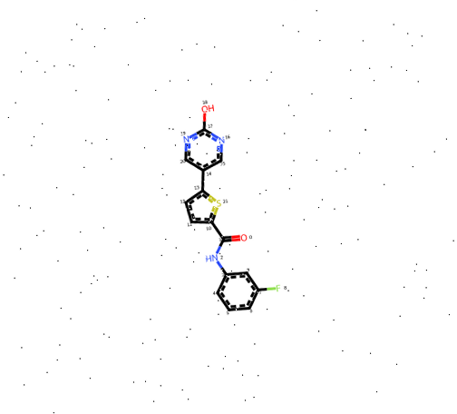 O=C(Nc1cccc(F)c1)c1ccc(-c2cnc(O)nc2)s1